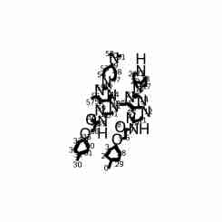 Cc1ccc(OCC(=O)Nc2cnc3nc(N4CC5CC4CN5)nc(C)c3n2)cc1.Cc1ccc(OCC(=O)Nc2cnc3nc(N4CCC(N(C)C)CC4)nc(C)c3n2)cc1